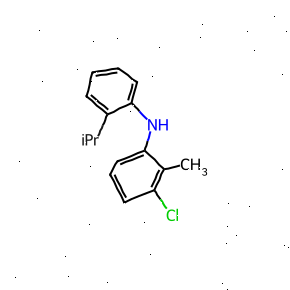 Cc1c(Cl)cccc1Nc1ccccc1C(C)C